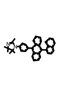 CC1=NC(C)(C)C(C)(C)N1c1ccc(-c2c3ccccc3c(-c3cccc4ccccc34)c3ccccc23)cc1